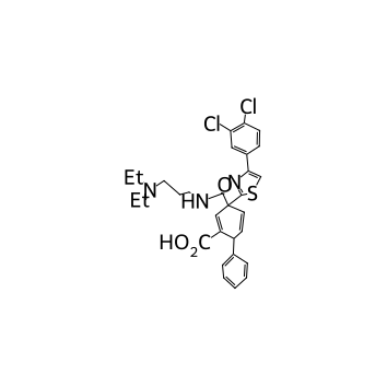 CCN(CC)CCCNC(=O)C1(c2nc(-c3ccc(Cl)c(Cl)c3)cs2)C=CC(c2ccccc2)C(C(=O)O)=C1